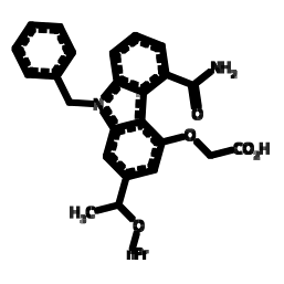 CCCOC(C)c1cc(OCC(=O)O)c2c3c(C(N)=O)cccc3n(Cc3ccccc3)c2c1